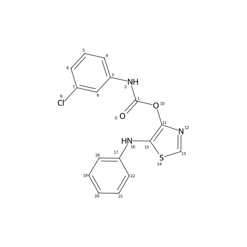 O=C(Nc1cccc(Cl)c1)Oc1ncsc1Nc1ccccc1